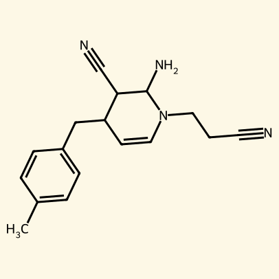 Cc1ccc(CC2C=CN(CCC#N)C(N)C2C#N)cc1